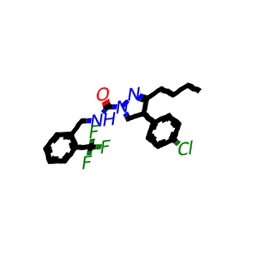 CCCCC1=NN(C(=O)NCc2ccccc2C(F)(F)F)CC1c1ccc(Cl)cc1